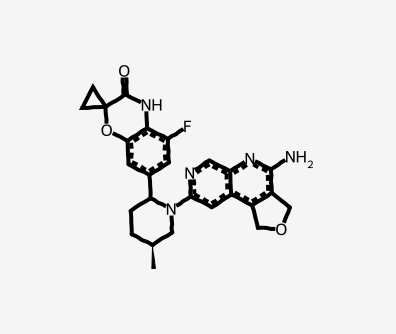 C[C@H]1CCC(c2cc(F)c3c(c2)OC2(CC2)C(=O)N3)N(c2cc3c4c(c(N)nc3cn2)COC4)C1